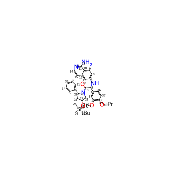 CCOc1cc(C(Nc2ccc3c(N)nccc3c2)C(=O)N2C[C@H](O[Si](C)(C)C(C)(C)C)C[C@@H]2c2ccccc2)ccc1OC(C)C